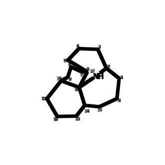 C1CC2CCCC3CCCC4CCCC(C1)C34N2